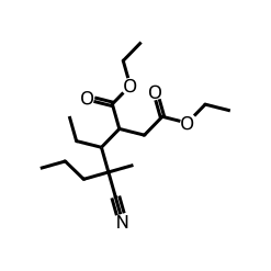 CCCC(C)(C#N)C(CC)C(CC(=O)OCC)C(=O)OCC